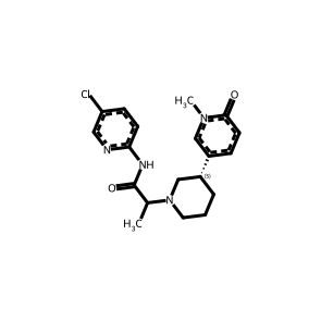 CC(C(=O)Nc1ccc(Cl)cn1)N1CCC[C@@H](c2ccc(=O)n(C)c2)C1